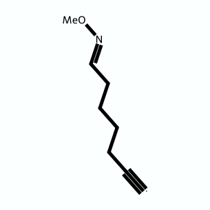 [C]#CCCCCC=NOC